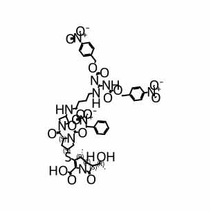 C[C@@H](O)[C@H]1C(=O)N2C(C(=O)O)=C(S[C@H]3C[C@@H](C(=O)N4CC(NC(=O)CCCNC(=NC(=O)OCc5ccc([N+](=O)[O-])cc5)NC(=O)OCc5ccc([N+](=O)[O-])cc5)C4)N(C(=O)OC(c4ccccc4)[N+](=O)[O-])C3)[C@H](C)[C@H]12